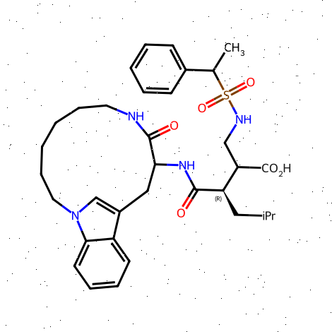 CC(C)C[C@@H](C(=O)NC1Cc2cn(c3ccccc23)CCCCCCNC1=O)C(CNS(=O)(=O)C(C)c1ccccc1)C(=O)O